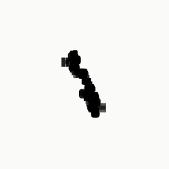 CN(C=O)c1c(C2CCN(C3CN(c4cccc(SN5CCC(NC(=O)OC(C)(C)C)CC5)c4)C3)CC2)cccc1N(C)C1CCC(=O)NC1=O